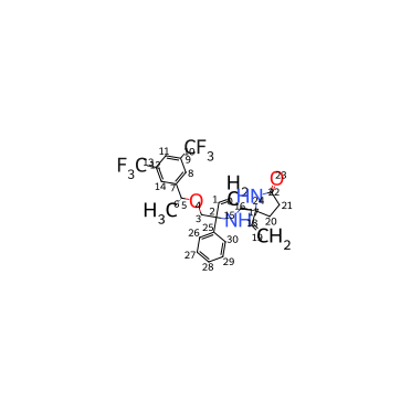 C=CC(CO[C@H](C)c1cc(C(F)(F)F)cc(C(F)(F)F)c1)(NC[C@]1(C=C)CCC(=O)N1)c1ccccc1